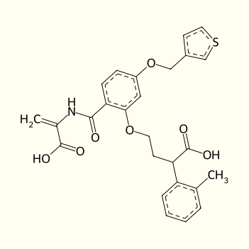 C=C(NC(=O)c1ccc(OCc2ccsc2)cc1OCCC(C(=O)O)c1ccccc1C)C(=O)O